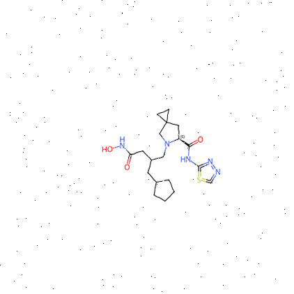 O=C(CC(CC1CCCC1)CN1CC2(CC2)C[C@H]1C(=O)Nc1nncs1)NO